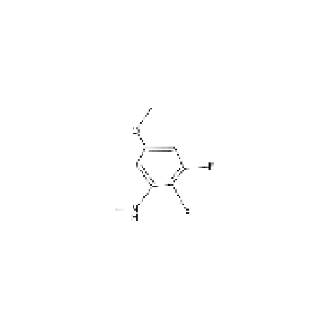 CNc1cc(OC)cc(F)c1F